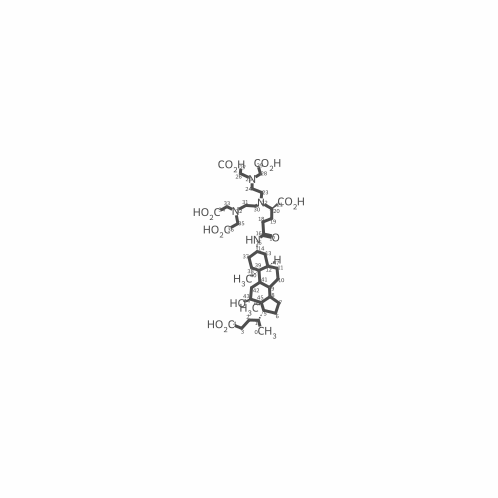 CC(CCC(=O)O)[C@H]1CCC2C3CC[C@@H]4C[C@@H](NC(=O)CC[C@H](C(=O)O)N(CCN(CC(=O)O)CC(=O)O)CCN(CC(=O)O)CC(=O)O)CC[C@]4(C)C3C[C@H](O)[C@@]21C